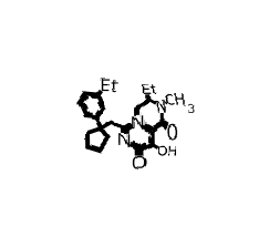 CCc1cccc(C2(Cc3nc(=O)c(O)c4n3CC(CC)N(C)C4=O)CCCC2)c1